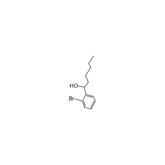 CCCCCC(O)c1ccccc1Br